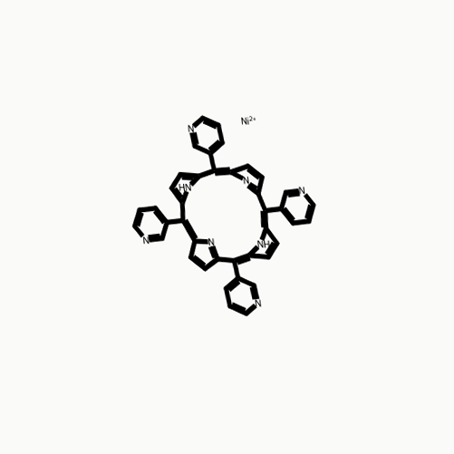 C1=Cc2nc1c(-c1cccnc1)c1ccc([nH]1)c(-c1cccnc1)c1nc(c(-c3cccnc3)c3ccc([nH]3)c2-c2cccnc2)C=C1.[Ni+2]